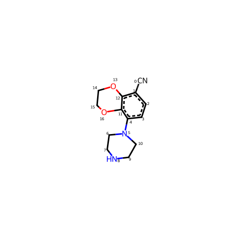 N#Cc1ccc(N2CCNCC2)c2c1OCCO2